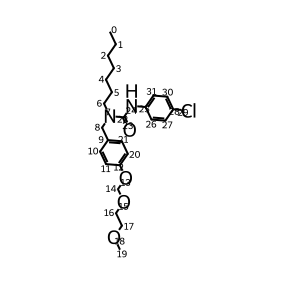 CCCCCCCN(Cc1ccc(OCOCCOC)cc1)C(=O)Nc1ccc(Cl)cc1